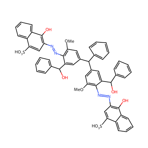 COc1cc(C(c2ccccc2)c2cc(OC)c(/N=N/c3cc(S(=O)(=O)O)c4ccccc4c3O)c(C(O)c3ccccc3)c2)cc(C(O)c2ccccc2)c1/N=N/c1cc(S(=O)(=O)O)c2ccccc2c1O